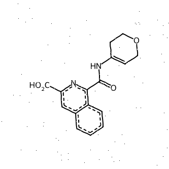 O=C(O)c1cc2ccccc2c(C(=O)NC2=CCOCC2)n1